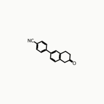 N#Cc1ccc(-c2ccc3c(c2)CCC(=O)C3)cc1